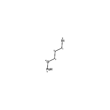 CCCCC[O][PoH]